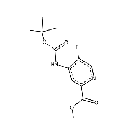 COC(=O)c1cc(NC(=O)OC(C)(C)C)c(F)cn1